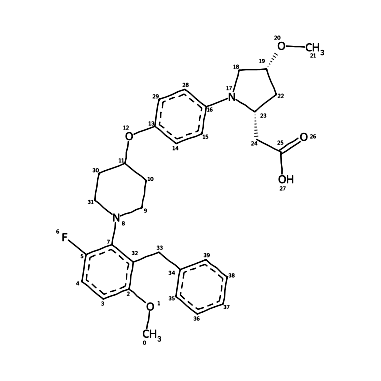 COc1ccc(F)c(N2CCC(Oc3ccc(N4C[C@H](OC)C[C@@H]4CC(=O)O)cc3)CC2)c1Cc1ccccc1